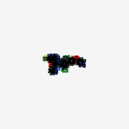 CN1CCC(Oc2ccc(-c3cc(Cl)c4cn(C(C(=O)Nc5nccs5)c5ncn6c5C[C@@H](F)C6)nc4c3Cl)cc2)CC1